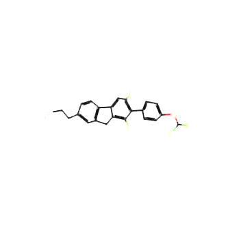 CCCc1ccc2c(c1)Cc1c-2cc(F)c(-c2ccc(OC(F)F)cc2)c1F